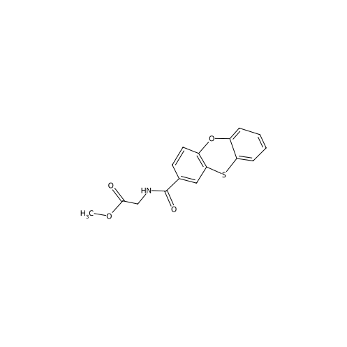 COC(=O)CNC(=O)c1ccc2c(c1)Sc1ccccc1O2